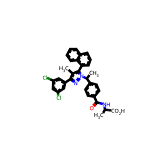 Cc1c(-c2cc(Cl)cc(Cl)c2)nn(C(C)c2ccc(C(=O)NC(C)C(=O)O)cc2)c1-c1cccc2ccccc12